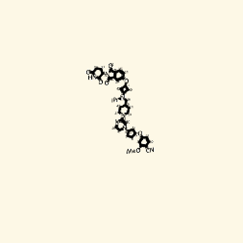 COc1cc(O[C@@H]2CC[C@H](N3C=C(N4CCC(CN(C(C)C)C5CC(Oc6ccc7c(c6)C(=O)N([C@H]6CCC(=O)NC6=O)C7=O)C5)CC4)N=CC3)C2)ccc1C#N